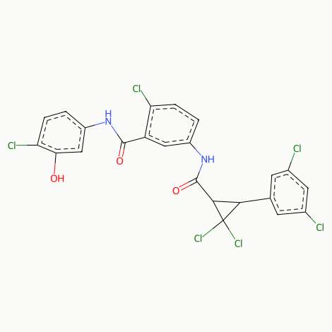 O=C(Nc1ccc(Cl)c(O)c1)c1cc(NC(=O)C2C(c3cc(Cl)cc(Cl)c3)C2(Cl)Cl)ccc1Cl